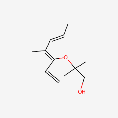 C=C/C(OC(C)(C)CO)=C(C)/C=C/C